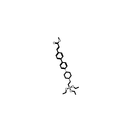 CCO[Si](CC[C@H]1CC[C@H](c2ccc(-c3ccc(/C=C/C(=O)OC)cc3)cc2)CC1)(OCC)OCC